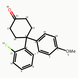 COc1ccc(C2(c3ccccc3F)CCC(=O)CC2)cc1